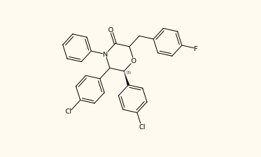 O=C1C(Cc2ccc(F)cc2)O[C@@H](c2ccc(Cl)cc2)C(c2ccc(Cl)cc2)N1c1ccccc1